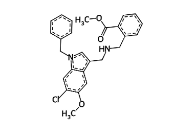 COC(=O)c1ccccc1CNCc1cn(Cc2ccccc2)c2cc(Cl)c(OC)cc12